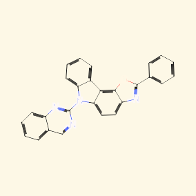 c1ccc(-c2nc3ccc4c(c5ccccc5n4-c4ncc5ccccc5n4)c3o2)cc1